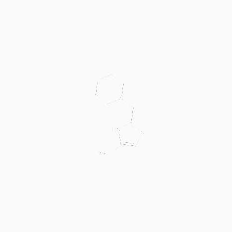 COc1cnc(CN2CCOCC2)[nH]1